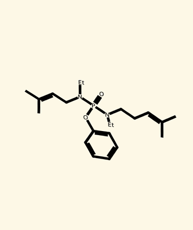 CCN(CC=C(C)C)P(=O)(Oc1ccccc1)N(CC)CCC=C(C)C